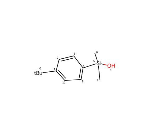 CC(C)(C)c1ccc([Si](C)(C)O)cc1